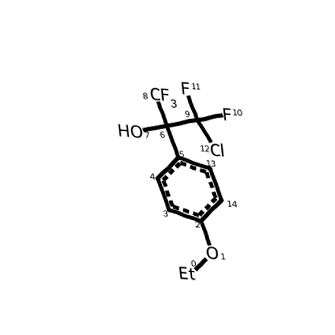 CCOc1ccc(C(O)(C(F)(F)F)C(F)(F)Cl)cc1